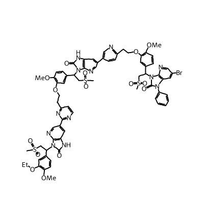 CCOc1cc(C(CS(C)(=O)=O)n2c(=O)[nH]c3cc(-c4nccc(CCOc5cc(C(CS(C)(=O)=O)n6c(=O)[nH]c7cc(-c8ccc(CCOc9cc(C(CS(C)(=O)=O)n%10c(=O)n(-c%11ccccc%11)c%11cc(Br)cnc%11%10)ccc9OC)nc8)cnc76)ccc5OC)n4)cnc32)ccc1OC